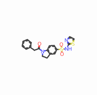 O=C(Cc1ccccc1)N1CCc2cc(S(=O)(=O)Nc3nccs3)ccc21